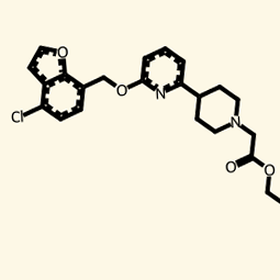 CCOC(=O)CN1CCC(c2cccc(OCc3ccc(Cl)c4ccoc34)n2)CC1